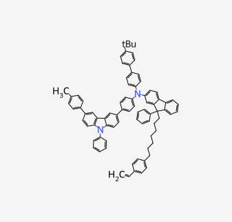 C=Cc1ccc(CCCCCCCC2(c3ccccc3)c3ccccc3-c3ccc(N(c4ccc(-c5ccc(C(C)(C)C)cc5)cc4)c4ccc(-c5ccc6c(c5)c5cc(-c7ccc(C)cc7)ccc5n6-c5ccccc5)cc4)cc32)cc1